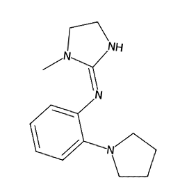 CN1CCN/C1=N/c1ccccc1N1CCCC1